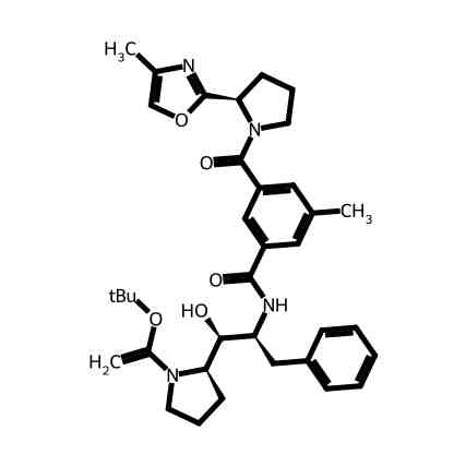 C=C(OC(C)(C)C)N1CCC[C@@H]1[C@@H](O)[C@H](Cc1ccccc1)NC(=O)c1cc(C)cc(C(=O)N2CCC[C@@H]2c2nc(C)co2)c1